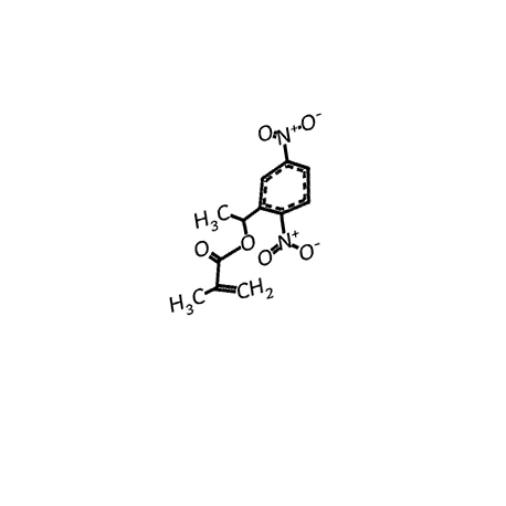 C=C(C)C(=O)OC(C)c1cc([N+](=O)[O-])ccc1[N+](=O)[O-]